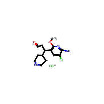 COc1nc(N)c(Cl)cc1C(CC=O)C1CCNCC1.Cl